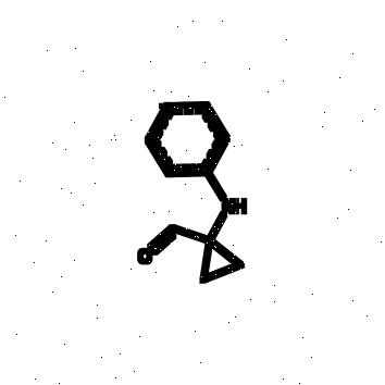 O=CC1(Nc2cc[c]cc2)CC1